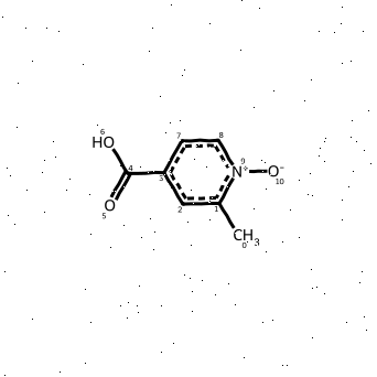 Cc1cc(C(=O)O)cc[n+]1[O-]